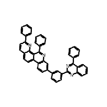 c1ccc(-c2ccc3ccc4c5ccc(-c6cccc(-c7nc(-c8ccccc8)c8ccccc8n7)c6)cc5nc(-c5ccccc5)c4c3n2)cc1